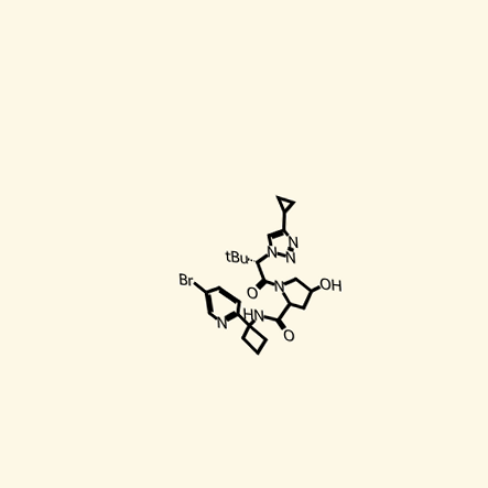 CC(C)(C)[C@@H](C(=O)N1CC(O)CC1C(=O)NC1(c2ccc(Br)cn2)CCC1)n1cc(C2CC2)nn1